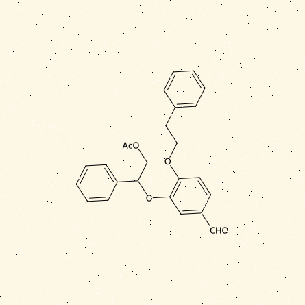 CC(=O)OCC(Oc1cc(C=O)ccc1OCCc1ccccc1)c1ccccc1